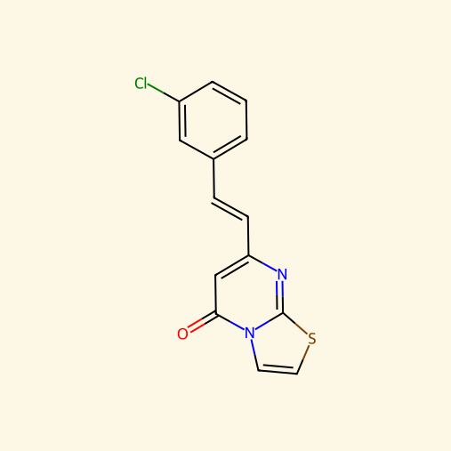 O=c1cc(/C=C/c2cccc(Cl)c2)nc2sccn12